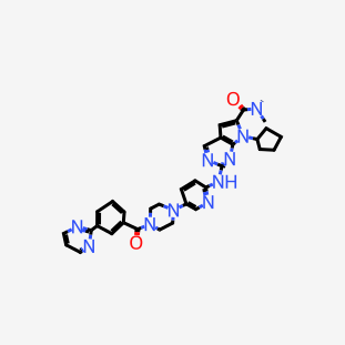 CN(C)C(=O)c1cc2cnc(Nc3ccc(N4CCN(C(=O)c5cccc(-c6ncccn6)c5)CC4)cn3)nc2n1C1CCCC1